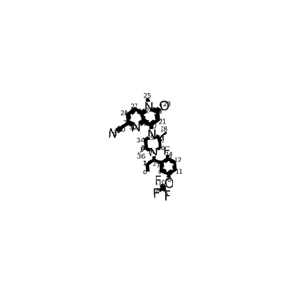 CCC(c1cc(OC(F)(F)F)ccc1F)N1C[C@H](C)N(c2cc(=O)n(C)c3ccc(C#N)nc23)C[C@H]1C